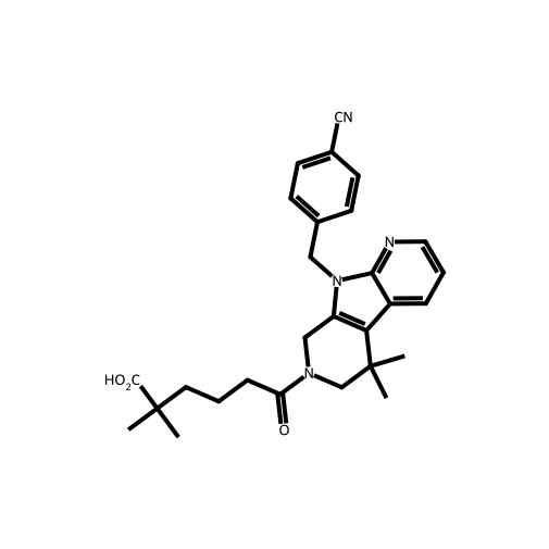 CC(C)(CCCC(=O)N1Cc2c(c3cccnc3n2Cc2ccc(C#N)cc2)C(C)(C)C1)C(=O)O